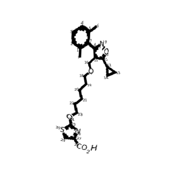 Cc1cccc(C)c1-c1noc(C2CC2)c1COCCCCCCOc1nc(C(=O)O)cs1